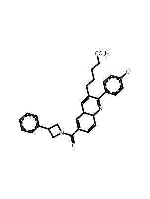 O=C(O)CCCCC1=CC2C=C(C(=O)N3CC(c4ccccc4)C3)C=CC2N=C1c1ccc(Cl)cc1